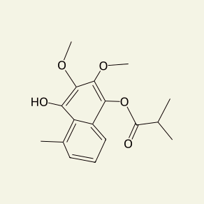 COc1c(OC)c(O)c2c(C)cccc2c1OC(=O)C(C)C